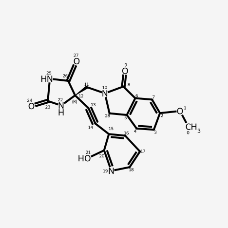 COc1ccc2c(c1)C(=O)N(C[C@@]1(C#Cc3cccnc3O)NC(=O)NC1=O)C2